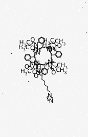 CC(C)(C)C(=O)Nc1ccccc1-c1c2nc(c(-c3ccccc3NC(=O)C(C)(C)C)c3cc(COC(=O)CCCCCCCn4ccnc4)c([nH]3)c(-c3ccccc3NC(=O)C(C)(C)C)c3nc(c(-c4ccccc4NC(=O)C(C)(C)C)c4ccc1[nH]4)C=C3)C=C2